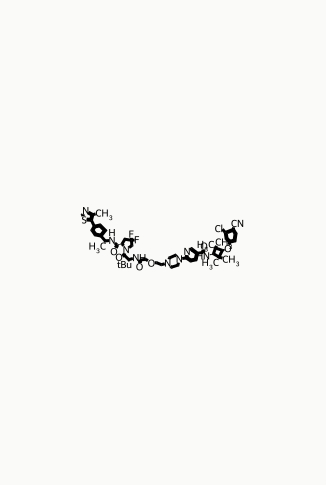 Cc1ncsc1-c1ccc([C@H](C)NC(=O)[C@@H]2CC(F)(F)CN2C(=O)[C@@H](NC(=O)COCCN2CCN(c3ccc(C(=O)N[C@H]4C(C)(C)[C@H](Oc5ccc(C#N)c(Cl)c5)C4(C)C)cn3)CC2)C(C)(C)C)cc1